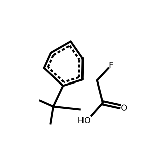 CC(C)(C)c1ccccc1.O=C(O)CF